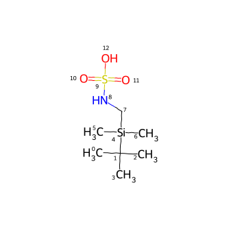 CC(C)(C)[Si](C)(C)CNS(=O)(=O)O